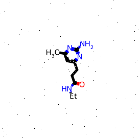 CCNC(=O)CCc1cc(C)nc(N)n1